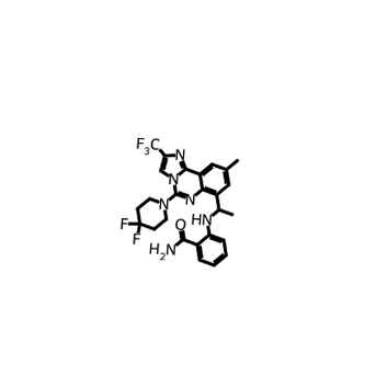 Cc1cc(C(C)Nc2ccccc2C(N)=O)c2nc(N3CCC(F)(F)CC3)n3cc(C(F)(F)F)nc3c2c1